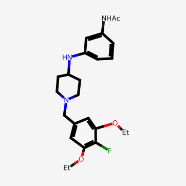 CCOc1cc(CN2CCC(Nc3cccc(NC(C)=O)c3)CC2)cc(OCC)c1F